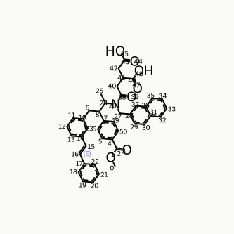 COC(=O)c1ccc(C(Cc2cccc(/C=C/c3ccccc3)c2)C(C)N(Cc2ccc3ccccc3c2)C(=O)CC(CC(=O)O)C(=O)O)cc1